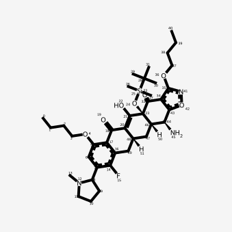 CCCCOc1cc(C2CCCN2C)c(F)c2c1C(=O)C1=C(O)[C@]3(O[Si](C)(C)C(C)(C)C)C(=O)c4c(OCCCC)noc4[C@@H](N)[C@@H]3C[C@@H]1C2